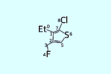 CCc1c(CF)csc1Cl